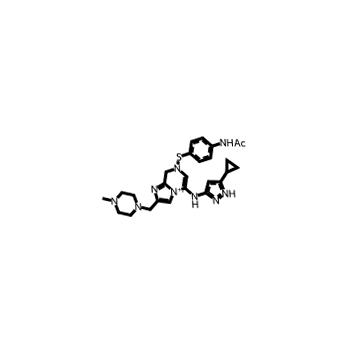 CC(=O)Nc1ccc(SN2C=C(Nc3cc(C4CC4)[nH]n3)[N+]3C=C(CN4CCN(C)CC4)N=C3C2)cc1